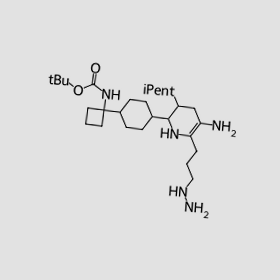 CCCC(C)C1CC(N)=C(CCCNN)NC1C1CCC(C2(NC(=O)OC(C)(C)C)CCC2)CC1